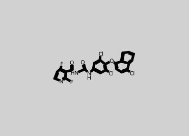 O=C(NC(=O)c1c(F)ccnc1F)Nc1cc(Cl)c(Oc2ccc(Cl)c3ccccc23)c(Cl)c1